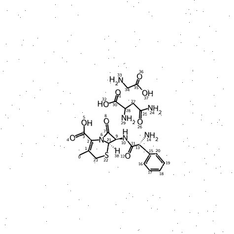 CC1=C(C(=O)O)N2C(=O)[C@@H](NC(=O)[C@H](N)c3ccccc3)[C@H]2SC1.NC(=O)CC(N)C(=O)O.NCC(=O)O